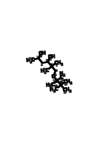 CC(O)C[C@@H](O)C(C)(C)CO[Si](C)(C)C(C)(C)C